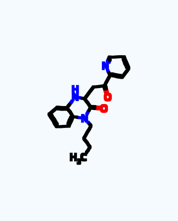 CCCCN1C(=O)C(CC(=O)c2ccccn2)Nc2ccccc21